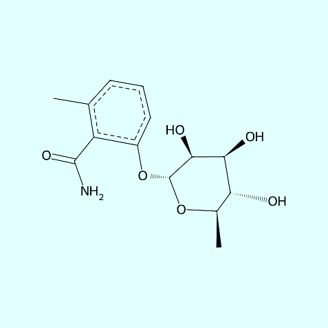 Cc1cccc(O[C@H]2O[C@H](C)[C@@H](O)[C@H](O)[C@@H]2O)c1C(N)=O